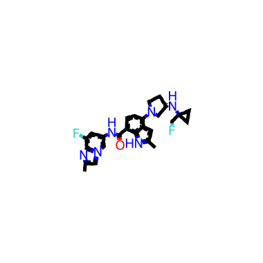 Cc1cn2cc(NC(=O)c3ccc(N4CC[C@H](NC5(CF)CC5)C4)c4cc(C)[nH]c34)cc(F)c2n1